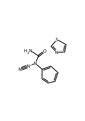 N#[N+]N(C(N)=O)c1ccccc1.c1cscn1